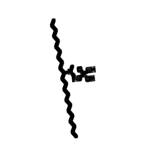 CCCCCCCCCCCCC(CCCCCCCCCC)N(C)C.O=P(O)(O)O